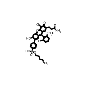 NCCCCOP(=O)(O)c1ccc(-c2cc3c(-c4c(Cl)cccc4C(=O)O)c4cc(CCC(N)=O)c(=O)c(Cl)c-4oc3cc2O)cc1